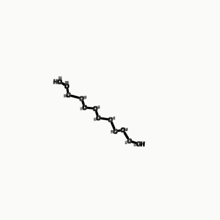 OOOOOOOOOOOO